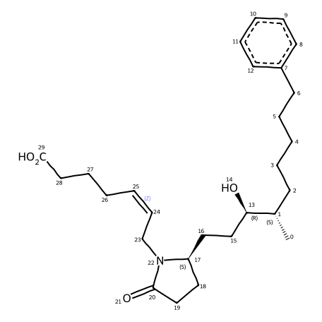 C[C@@H](CCCCCc1ccccc1)[C@H](O)CC[C@H]1CCC(=O)N1C/C=C\CCCC(=O)O